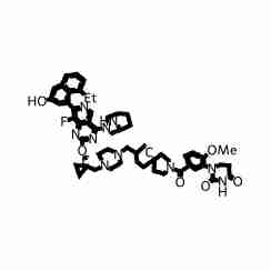 CCc1cccc2cc(O)cc(-c3ncc4c(N5CC6CCC(C5)N6)nc(OCC5(CN6CCN(CC7CCC8(CC7)CCN(C(=O)c7ccc(OC)c(N9CCC(=O)NC9=O)c7)CC8)CC6)CC5)nc4c3F)c12